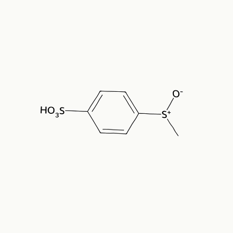 C[S+]([O-])c1ccc(S(=O)(=O)O)cc1